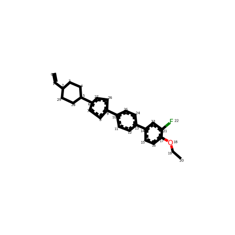 C=CC1CCC(c2ccc(-c3ccc(-c4ccc(OCC)c(F)c4)cc3)cc2)CC1